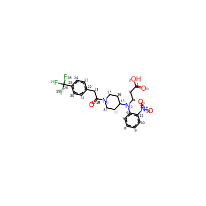 O=C(O)CCN(c1ccccc1[N+](=O)[O-])C1CCN(C(=O)Cc2ccc(C(F)(F)F)cc2)CC1